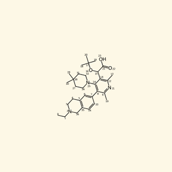 CCN1CCc2cc(-c3c(C)nc(C)c(C(OC(C)(C)C)C(=O)O)c3N3CCC(C)(C)CC3)ccc2C1